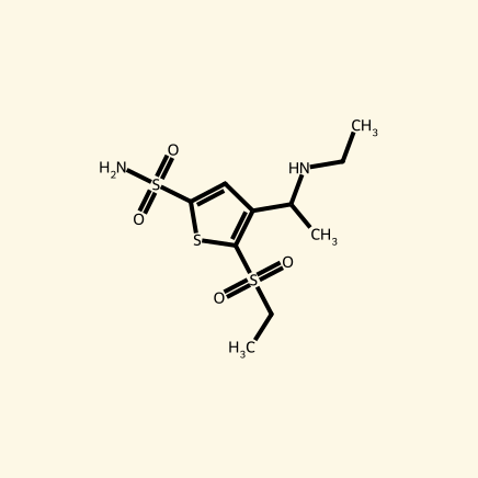 CCNC(C)c1cc(S(N)(=O)=O)sc1S(=O)(=O)CC